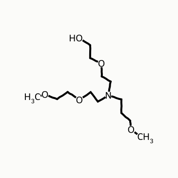 COCCCN(CCOCCO)CCOCCOC